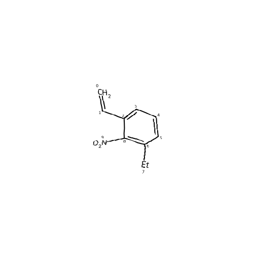 C=Cc1cccc(CC)c1[N+](=O)[O-]